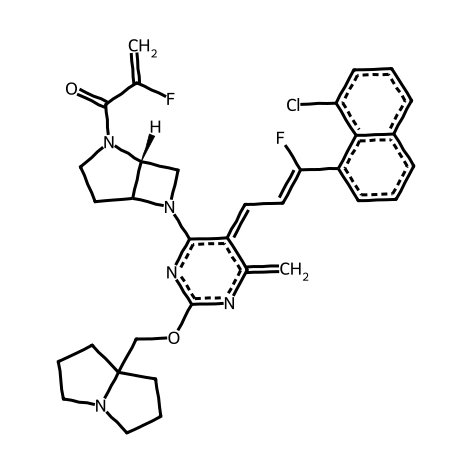 C=C(F)C(=O)N1CCC2[C@H]1CN2c1nc(OCC23CCCN2CCC3)nc(=C)/c1=C\C=C(/F)c1cccc2cccc(Cl)c12